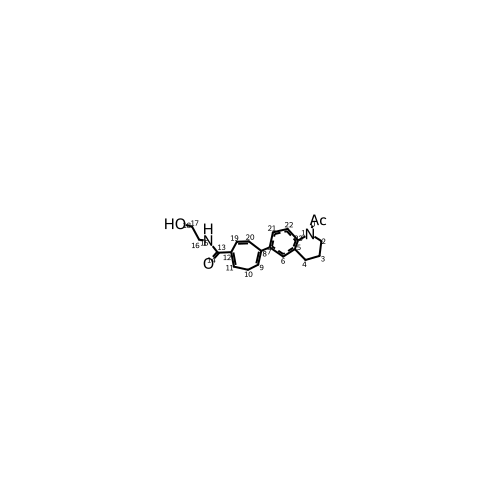 CC(=O)N1CCCc2cc(C3=CCC=C(C(=O)NCCO)C=C3)ccc21